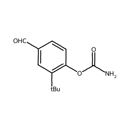 CC(C)(C)c1cc(C=O)ccc1OC(N)=O